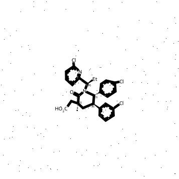 CC[C@H](c1cccc(Cl)n1)N1C(=O)[C@](C)(CC(=O)O)C[C@H](c2cccc(Cl)c2)[C@H]1c1ccc(Cl)cc1